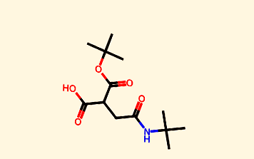 CC(C)(C)NC(=O)CC(C(=O)O)C(=O)OC(C)(C)C